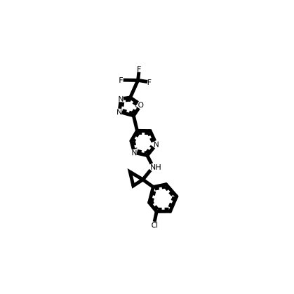 FC(F)(F)c1nnc(-c2cnc(NC3(c4cccc(Cl)c4)CC3)nc2)o1